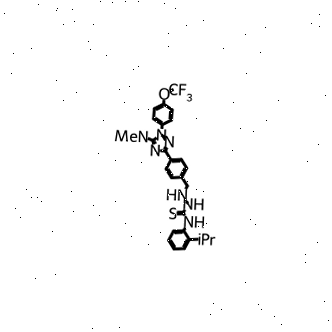 CNc1nc(-c2ccc(CNNC(=S)Nc3ccccc3C(C)C)cc2)nn1-c1ccc(OC(F)(F)F)cc1